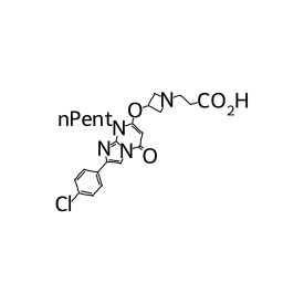 CCCCCn1c(OC2CN(CCC(=O)O)C2)cc(=O)n2cc(-c3ccc(Cl)cc3)nc12